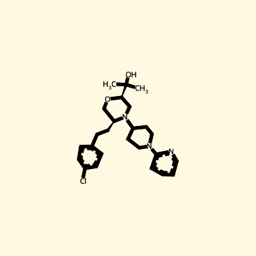 CC(C)(O)[C@H]1CN(C2CCN(c3ccccn3)CC2)[C@@H](CCc2ccc(Cl)cc2)CO1